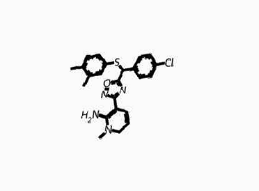 Cc1ccc(SC(c2ccc(Cl)cc2)c2nc(C3=C(N)N(C)CC=C3)no2)cc1C